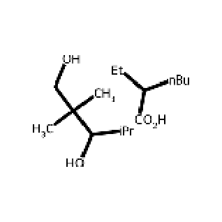 CC(C)C(O)C(C)(C)CO.CCCCC(CC)C(=O)O